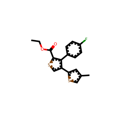 CCOC(=O)c1scc(-c2cc(C)cs2)c1-c1ccc(F)cc1